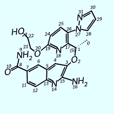 C[C@H](Oc1cc2cc(C(N)=O)ccc2nc1N)c1nc(OCCO)ccc1-n1cccn1